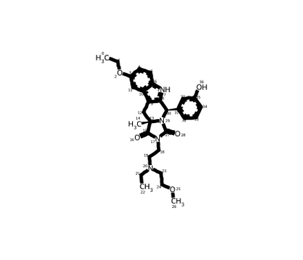 CCOc1ccc2[nH]c3c(c2c1)C[C@@]1(C)C(=O)N(CCN(CC)CCOC)C(=O)N1[C@@H]3c1cccc(O)c1